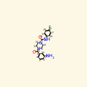 Nc1cccc(C(=O)N2CCN(C(=O)Nc3ccc(F)cc3)CC2)c1